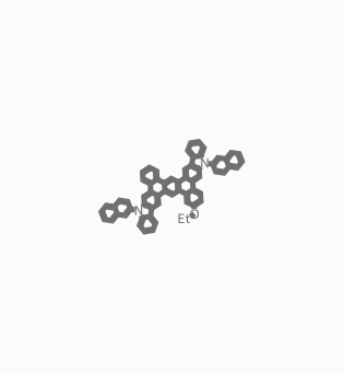 CCOc1ccc2c(c1)c1cc3c(cc1c1cc4c5ccccc5n(-c5ccc6ccccc6c5)c4cc21)c1ccccc1c1cc2c(cc31)c1ccccc1n2-c1ccc2ccccc2c1